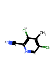 Cc1c(Cl)cnc(C#N)c1Cl